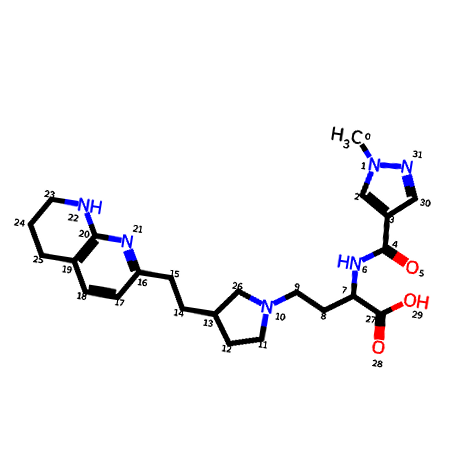 Cn1cc(C(=O)NC(CCN2CCC(CCc3ccc4c(n3)NCCC4)C2)C(=O)O)cn1